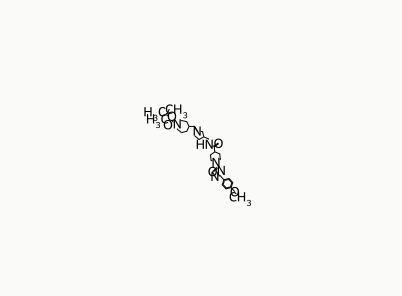 COc1ccc(-c2noc(N3CCC(C(=O)NCC4CCN(CC5CCCN(C(=O)OC(C)(C)C)CC5)C4)CC3)n2)cc1